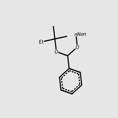 CCCCCCCCCOC(OC(C)(C)CC)c1ccccc1